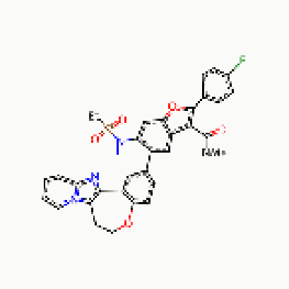 CCS(=O)(=O)Nc1cc2oc(-c3ccc(F)cc3)c(C(=O)NC)c2cc1-c1ccc2c(c1)-c1nc3ccccn3c1CCO2